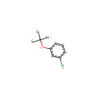 [2H]C([2H])([2H])Oc1cccc(Br)c1